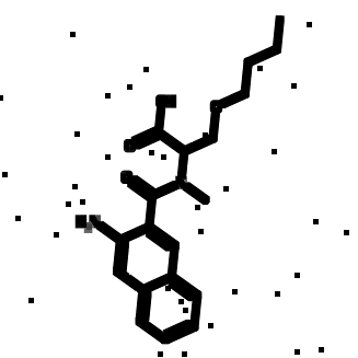 CCCCOCC(C(=O)O)N(C)C(=O)c1cc2ccccc2cc1N